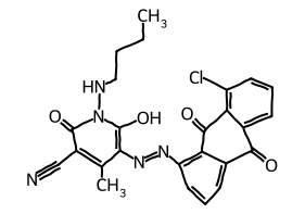 CCCCNn1c(O)c(/N=N/c2cccc3c2C(=O)c2c(Cl)cccc2C3=O)c(C)c(C#N)c1=O